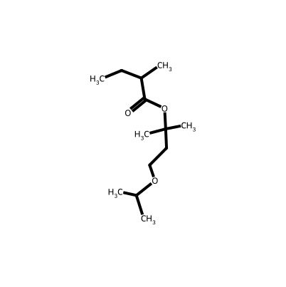 CCC(C)C(=O)OC(C)(C)CCOC(C)C